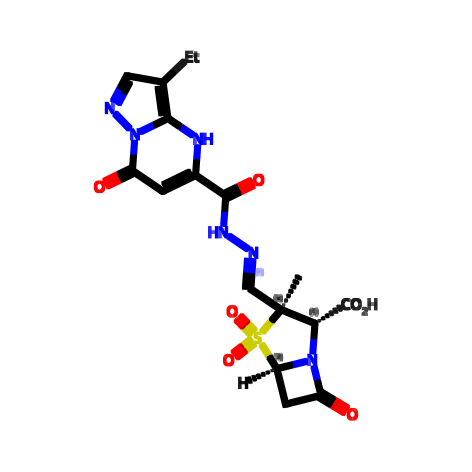 CCc1cnn2c(=O)cc(C(=O)N/N=C/[C@@]3(C)[C@H](C(=O)O)N4C(=O)C[C@H]4S3(=O)=O)[nH]c12